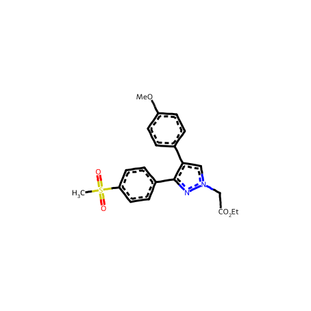 CCOC(=O)Cn1cc(-c2ccc(OC)cc2)c(-c2ccc(S(C)(=O)=O)cc2)n1